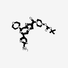 CC(C)(C)OC(=O)ON1CCN(C(=O)c2cn3cc(-c4cnc(N)nc4)nc(N4CCOCC4)c3n2)CC1